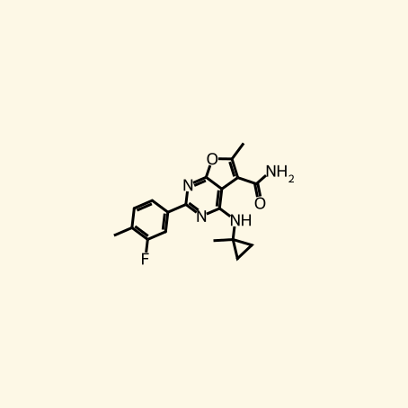 Cc1ccc(-c2nc(NC3(C)CC3)c3c(C(N)=O)c(C)oc3n2)cc1F